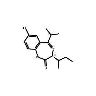 CCC(C)[C@@H]1N=C(C(C)C)c2cc(Cl)ccc2NC1=O